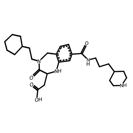 O=C(O)CC1Nc2cc(C(=O)NCCCC3CCNCC3)ccc2CN(CCC2CCCCC2)C1=O